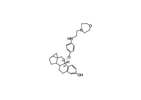 Oc1ccc2c(c1)CCC1C3CCC4CC43C[C@H](Oc3ccc(NCCN4CCOCC4)cc3)[C@H]21